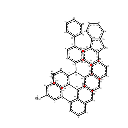 CC(C)(C)c1cc(-c2cccc3cccc(-c4ccccc4N(c4ccccc4-c4ccc5c(c4)oc4ccccc45)c4ccc(-c5ccccc5)cc4-c4ccccc4)c23)cc(C(C)(C)C)c1